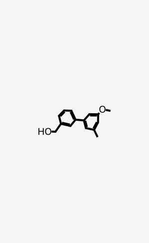 COc1cc(C)cc(-c2cccc(CO)c2)c1